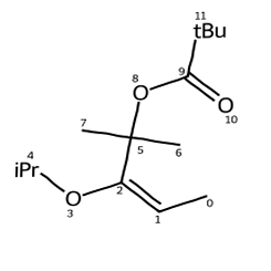 C/C=C(/OC(C)C)C(C)(C)OC(=O)C(C)(C)C